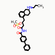 CCCN[C@H]1CCc2c(CCCC(NC(=O)c3ccc(-c4ccccc4)cc3)OS(C)(=O)=O)cccc2C1